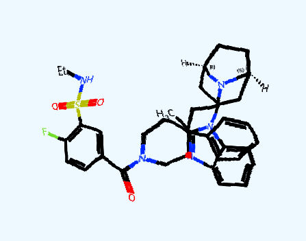 CCNS(=O)(=O)c1cc(C(=O)N2CCC(CCN3[C@@H]4CC[C@H]3CC(n3c(C)nc5ccccc53)C4)(c3ccccc3)CC2)ccc1F